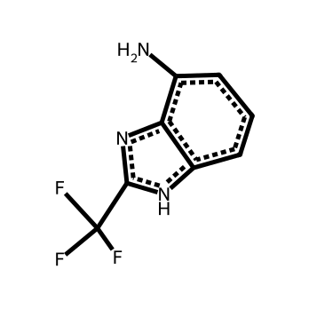 Nc1cccc2[nH]c(C(F)(F)F)nc12